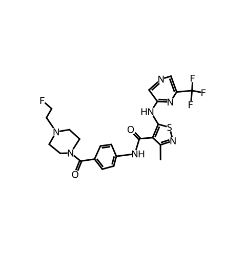 Cc1nsc(Nc2cncc(C(F)(F)F)n2)c1C(=O)Nc1ccc(C(=O)N2CCN(CCF)CC2)cc1